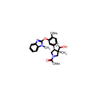 COC(=O)N1C[C@@H](c2ccc(OC)c(Oc3nc4ccccc4n3C)c2)[C@](C)([C@@H](C)O)C1